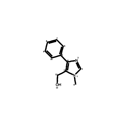 Cn1cnc(-c2ccccc2)c1CO